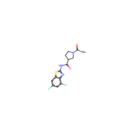 CC(C)(C)C(=O)N1CCC(C(=O)Nc2nc3c(F)cc(F)cc3s2)C1